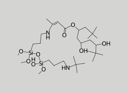 CO[Si](O)(CCCNC(C)(C)C)O[Si](CCCN/C(C)=C\C(=O)OC(CC(O)CC(O)C(C)(C)C)CC(C)(C)C)(OC)OC